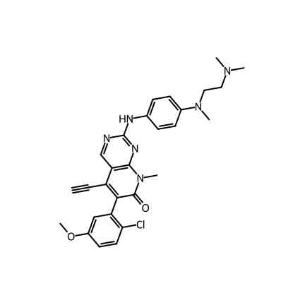 C#Cc1c(-c2cc(OC)ccc2Cl)c(=O)n(C)c2nc(Nc3ccc(N(C)CCN(C)C)cc3)ncc12